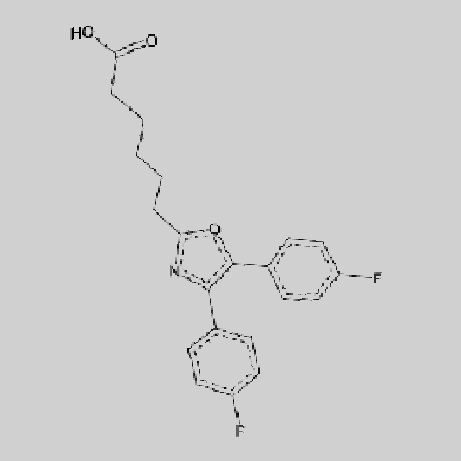 O=C(O)CCCCCc1nc(-c2ccc(F)cc2)c(-c2ccc(F)cc2)o1